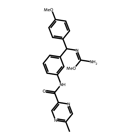 CO/C(N)=N\C(c1ccc(OC)cc1)c1cccc(NC(=O)c2cnc(C)cn2)c1